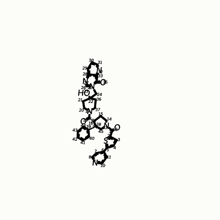 O=C(c1ccc(-c2ccncc2)s1)N1CC[C@@H](C(=O)N2CCC(O)(Cn3cnc4cccnc4c3=O)CC2)[C@H](c2ccccc2)C1